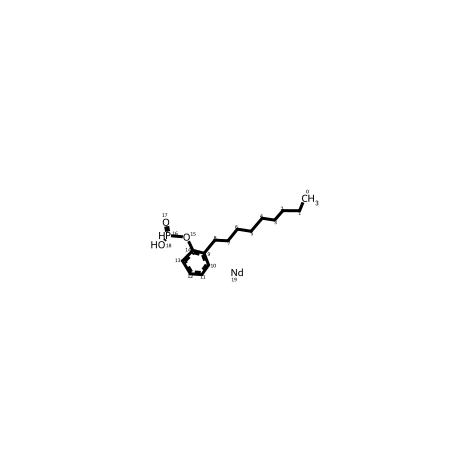 CCCCCCCCCc1ccccc1O[PH](=O)O.[Nd]